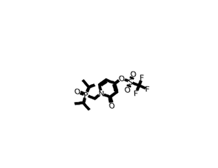 CC(C)P(=O)(Cn1ccc(OS(=O)(=O)C(F)(F)F)cc1=O)C(C)C